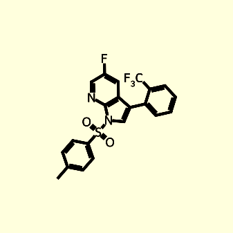 Cc1ccc(S(=O)(=O)n2cc(-c3ccccc3C(F)(F)F)c3cc(F)cnc32)cc1